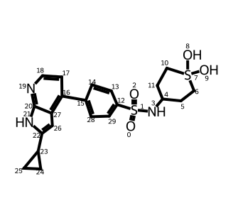 O=S(=O)(NC1CCS(O)(O)CC1)c1ccc(-c2ccnc3[nH]c(C4CC4)cc23)cc1